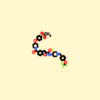 CS(=O)(=O)c1ccc(OC2CCN(C(=O)c3ccc4oc(C(=O)N[C@@H]5CCN(Cc6ccc(OC(F)(F)F)cc6)C[C@H]5F)cc4c3)CC2)cc1